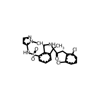 Cn1nccc1NS(=O)(=O)c1cccc2c1CN[C@]2(C)C(=O)Cc1c(Cl)cccc1Cl